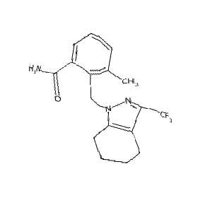 Cc1cccc(C(N)=O)c1Cn1nc(C(F)(F)F)c2c1CCCC2